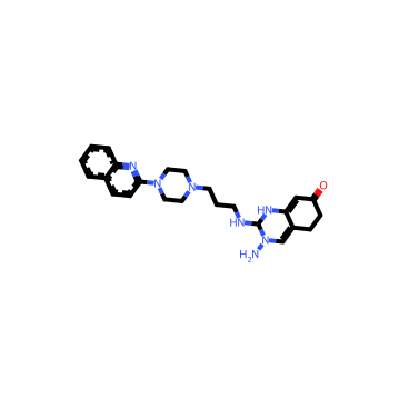 NN1C=C2CCC(=O)C=C2NC1NCCCN1CCN(c2ccc3ccccc3n2)CC1